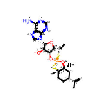 C=C(C)[C@@H]1CC[C@]2(C)S[P@@](=S)(O[C@H]3[C@@H](O)[C@H](n4cnc5c(N)ncnc54)O[C@@H]3CC)O[C@H]2C1